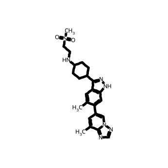 Cc1cc2c(C3CCC(NCCS(C)(=O)=O)CC3)n[nH]c2cc1-c1cc(C)c2ncnn2c1